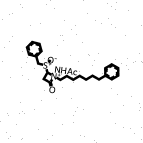 CC(=O)N[N+]1(CCCCCCCc2ccccc2)C(=O)CC1[S+]([O-])Cc1ccccc1